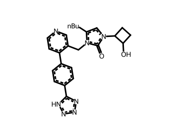 CCCCc1cn(C2CCC2O)c(=O)n1Cc1cnccc1-c1ccc(-c2nnn[nH]2)cc1